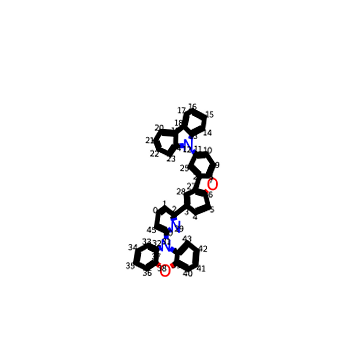 c1cc(-c2ccc3oc4ccc(-n5c6ccccc6c6ccccc65)cc4c3c2)nc(N2c3ccccc3Oc3ccccc32)c1